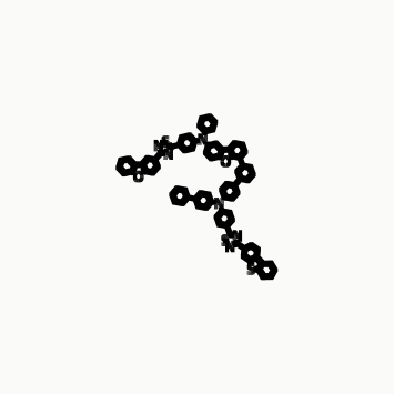 c1ccc(-c2ccc(N(c3ccc(-c4cccc(-c5cccc6c5oc5ccc(N(c7ccccc7)c7ccc(-c8nc(-c9ccc%10oc%11ccccc%11c%10c9)ns8)cc7)cc56)c4)cc3)c3ccc(-c4nc(-c5ccc6c(c5)sc5ccccc56)ns4)cc3)cc2)cc1